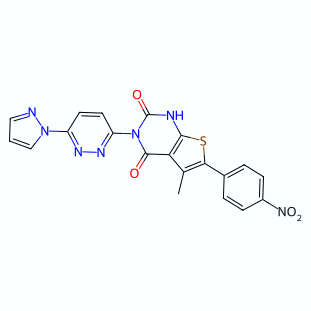 Cc1c(-c2ccc([N+](=O)[O-])cc2)sc2[nH]c(=O)n(-c3ccc(-n4cccn4)nn3)c(=O)c12